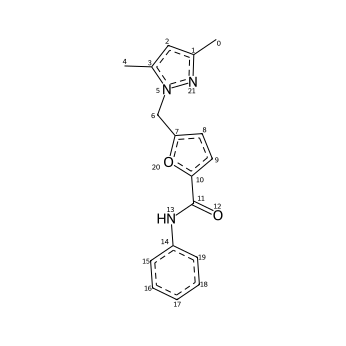 Cc1cc(C)n(Cc2ccc(C(=O)Nc3ccccc3)o2)n1